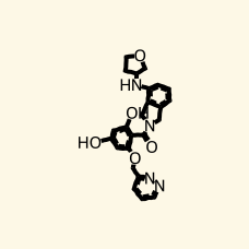 O=C(c1c(O)cc(O)cc1OCc1cccnn1)N1Cc2cccc(NC3CCOC3)c2C1